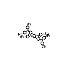 CC(C)c1ccc(N(c2ccc(C#N)cc2)c2ccc3c4cc5c(cc4n4c6ccc(C(C)(C)C)cc6c2c34)c2ccc(N(c3ccc(C#N)cc3)c3ccc(C(C)C)cc3)c3c4cc(C(C)(C)C)ccc4n5c23)cc1